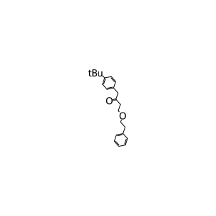 CC(C)(C)c1ccc(CC(=O)CCOCCc2ccccc2)cc1